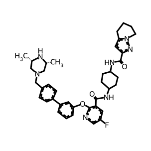 C[C@@H]1CN(Cc2ccc(-c3cccc(Oc4ncc(F)cc4C(=O)NC4CCC(NC(=O)c5cc6n(n5)CCCC6)CC4)c3)cc2)C[C@H](C)N1